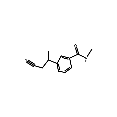 CNC(=O)c1cccc(C(C)CC#N)c1